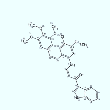 COc1cc(N/C=C\C(=O)c2c[nH]c3ccccc23)c(/C=C\c2cc(OC)c(OC)c(OC)c2)cc1Cl